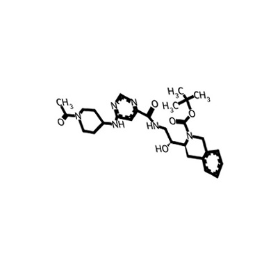 CC(=O)N1CCC(Nc2cc(C(=O)NC[C@@H](O)[C@@H]3Cc4ccccc4CN3C(=O)OC(C)(C)C)ncn2)CC1